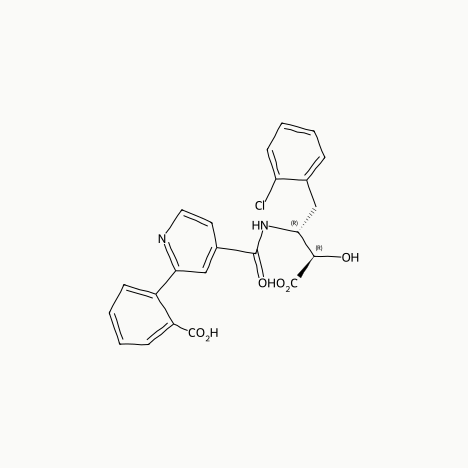 O=C(N[C@H](Cc1ccccc1Cl)[C@@H](O)C(=O)O)c1ccnc(-c2ccccc2C(=O)O)c1